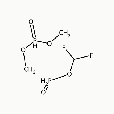 CO[PH](=O)OC.O=[PH2]OC(F)F